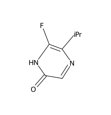 CC(C)c1ncc(=O)[nH]c1F